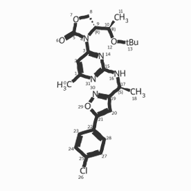 Cc1cc(N2C(=O)OC[C@@H]2[C@@H](C)OC(C)(C)C)nc(N[C@@H](C)c2cc(-c3ccc(Cl)cc3)on2)n1